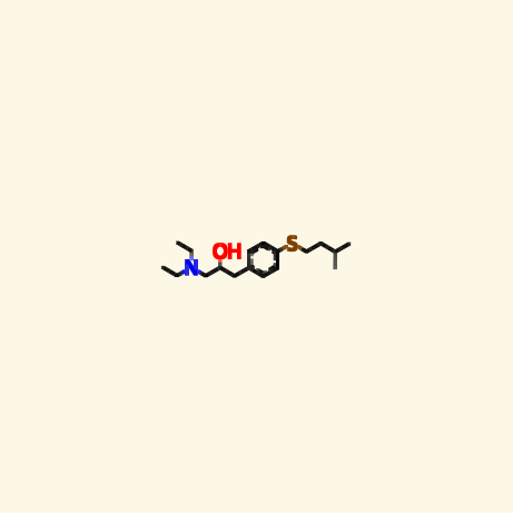 CCN(CC)CC(O)Cc1ccc(SCCC(C)C)cc1